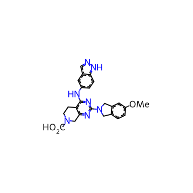 COc1ccc2c(c1)CN(c1nc3c(c(Nc4ccc5[nH]ncc5c4)n1)CCN(C(=O)O)C3)C2